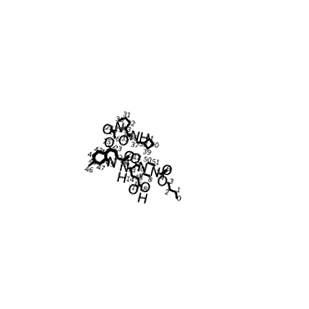 CCCCOC(=O)N1CCN(C(=O)C(CCC(=O)O)NC(=O)c2cc(OCC(=O)N3CCCC3C(=O)NCC3CCC3)c3ccc(C)cc3n2)CC1